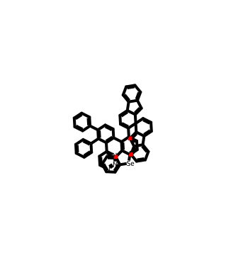 C1=CC2(C3=Cc4ccccc4C3=C1)C1=Cc3ccccc3C1=CC=C2c1ccc2[se]c3ccccc3c2c1-c1ccc(-c2ccccc2)c(-c2ccccc2)c1-c1ccnnn1